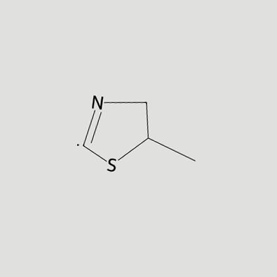 CC1CN=[C]S1